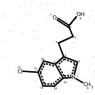 Cn1cc(CCC(=O)O)c2cc(Cl)ccc21